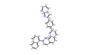 c1ccc2c(-c3ccc4ccc5ccc(-c6ccc(-c7cn8ccccc8n7)cc6)nc5c4n3)cccc2c1